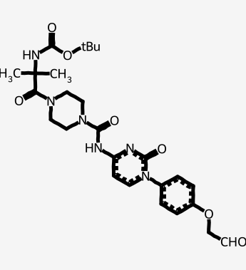 CC(C)(C)OC(=O)NC(C)(C)C(=O)N1CCN(C(=O)Nc2ccn(-c3ccc(OCC=O)cc3)c(=O)n2)CC1